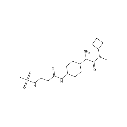 CN(C(=O)[C@@H](N)C1CCC(NC(=O)CCNS(C)(=O)=O)CC1)C1CCC1